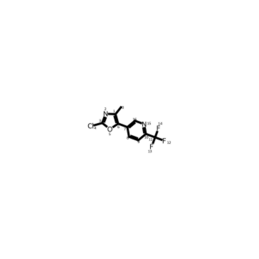 Cc1nc(Cl)oc1-c1ccc(C(F)(F)F)nc1